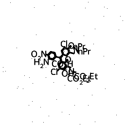 CCCN(CCC)Cc1c2oc3c(CN(CC(=O)OCC)CC(=O)OCC)c(O)c(Cl)cc3c(-c3ccc([N+](=O)[O-])c(N)c3C(=O)O)c-2cc(Cl)c1=O